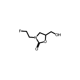 O=C1OC(CO)CN1CCF